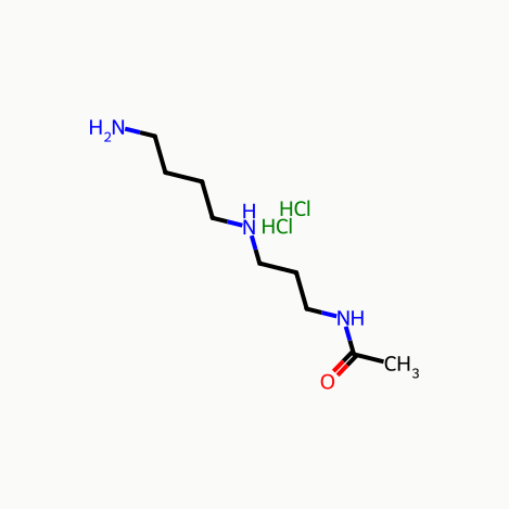 CC(=O)NCCCNCCCCN.Cl.Cl